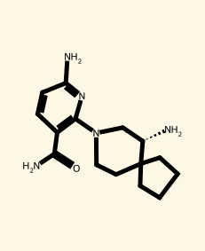 NC(=O)c1ccc(N)nc1N1CCC2(CCCC2)[C@@H](N)C1